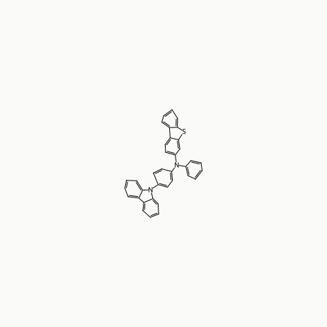 c1ccc(N(c2ccc(-n3c4ccccc4c4ccccc43)cc2)c2ccc3c(c2)sc2ccccc23)cc1